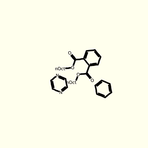 CCCCCCCCOC(=O)c1ccccc1C(=O)OCCCCCCCC.c1ccccc1.c1cnccn1